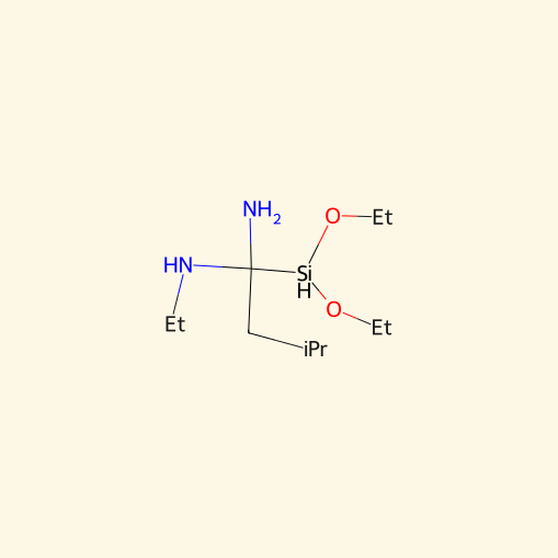 CCNC(N)(CC(C)C)[SiH](OCC)OCC